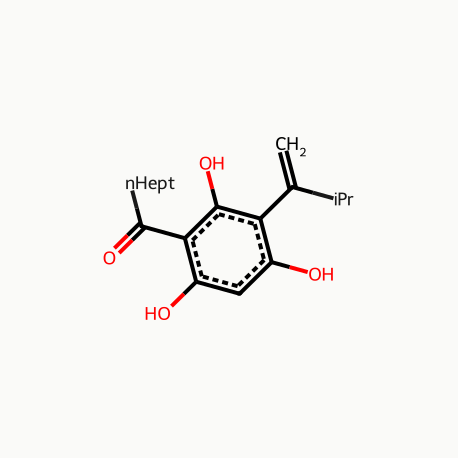 C=C(c1c(O)cc(O)c(C(=O)CCCCCCC)c1O)C(C)C